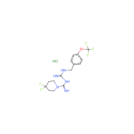 Cl.N=C(NCc1ccc(OC(F)(F)F)cc1)NC(=N)N1CCC(F)(F)CC1